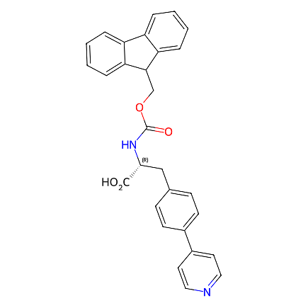 O=C(N[C@H](Cc1ccc(-c2ccncc2)cc1)C(=O)O)OCC1c2ccccc2-c2ccccc21